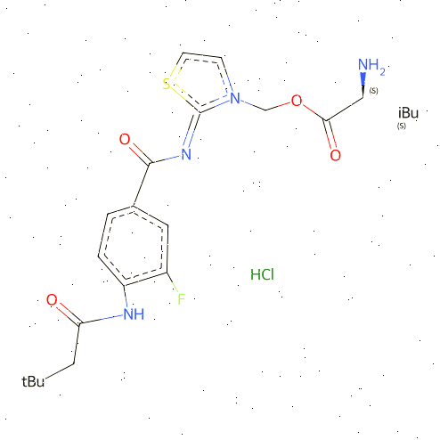 CC[C@H](C)[C@H](N)C(=O)OCn1ccsc1=NC(=O)c1ccc(NC(=O)CC(C)(C)C)c(F)c1.Cl